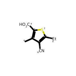 CCc1sc(C(=O)O)c(C)c1C#N